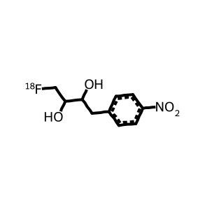 O=[N+]([O-])c1ccc(CC(O)C(O)C[18F])cc1